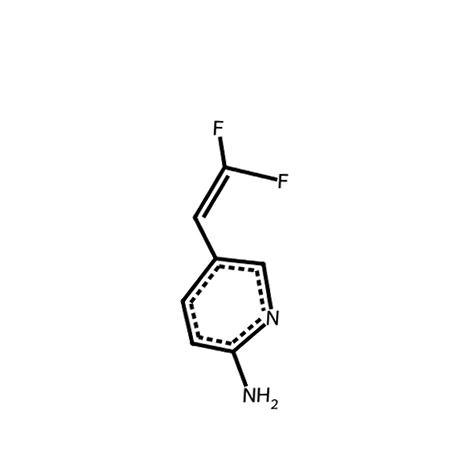 Nc1ccc(C=C(F)F)cn1